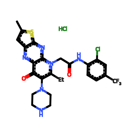 CCc1c(N2CCNCC2)c(=O)c2nc3cc(C)sc3nc2n1CC(=O)Nc1ccc(C(F)(F)F)cc1Cl.Cl